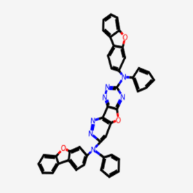 c1ccc(N(c2ccc3c(c2)oc2ccccc23)c2cc3oc4nc(N(c5ccccc5)c5ccc6c(c5)oc5ccccc56)nnc4c3nn2)cc1